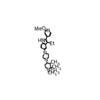 CCc1c(-c2ccnc(OC)c2)[nH]c2ccc(N3CCN(C4CCN(C)C(C)(C)C4C)CC3)cc12